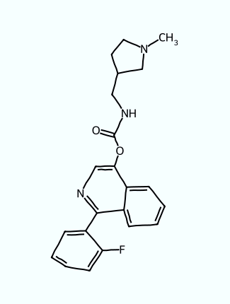 CN1CCC(CNC(=O)Oc2cnc(-c3ccccc3F)c3ccccc23)C1